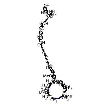 CO[C@H]1C[C@@H]2CC[C@@H](C)[C@@](O)(O2)C(=O)C(=O)N2CCCC[C@H]2C(=O)O[C@H]([C@H](N)C[C@@H]2CC[C@H](n3cc(COC(=O)NCCOCCOCCOCCOCCC(=O)NCc4cnc(N5CCN(c6ncc(C(=O)NCCCCn7nc(-c8cc9cc(O)ccc9[nH]8)c8c(N)ncnc87)cn6)CC5)nc4)nn3)[C@H](OC)C2)CC(=O)[C@H](C)/C=C(\C)[C@@H](O)[C@@H](OC)C(=O)[C@H](C)C[C@H](C)/C=C/C=C/C=C/1C